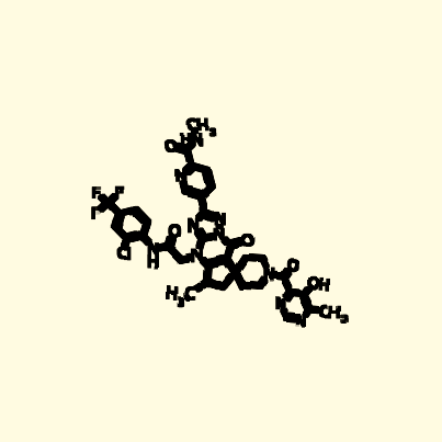 CNC(=O)c1ccc(-c2nc3n(CC(=O)Nc4ccc(C(F)(F)F)cc4Cl)c4c(c(=O)n3n2)C2(CCN(C(=O)c3ncnc(C)c3O)CC2)CC4C)cn1